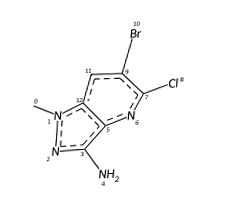 Cn1nc(N)c2nc(Cl)c(Br)cc21